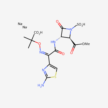 COC(=O)[C@H]1[C@H](NC(=O)C(=NOC(C)(C)C(=O)O)c2csc(N)n2)C(=O)N1S(=O)(=O)O.[Na].[Na]